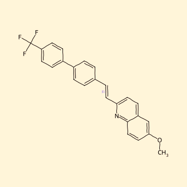 COc1ccc2nc(/C=C/c3ccc(-c4ccc(C(F)(F)F)cc4)cc3)ccc2c1